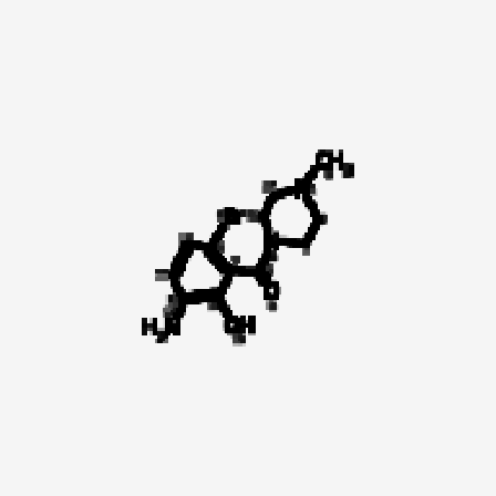 CN1CCN(C(=O)c2c(Br)ccc(N)c2O)CC1